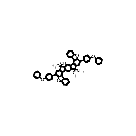 CC1(C)c2cc3c(cc2-c2c1cc(-c1ccc(Oc4ccccc4)cc1)c1oc4ccccc4c21)C(C)(C)c1cc(-c2ccc(Oc4ccccc4)cc2)c2oc4ccccc4c2c1-3